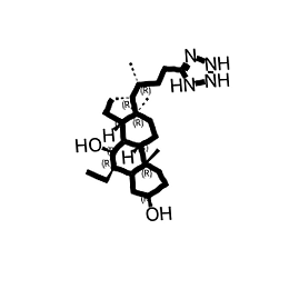 CC[C@@H]1C2C[C@H](O)CC[C@@]2(C)[C@H]2CC[C@]3(C)[C@@H]([C@H](C)CCC4=NNNN4)CC[C@H]3C2[C@@H]1O